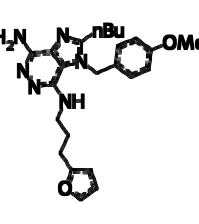 CCCCc1nc2c(N)nnc(NCCCc3ccco3)c2n1Cc1ccc(OC)cc1